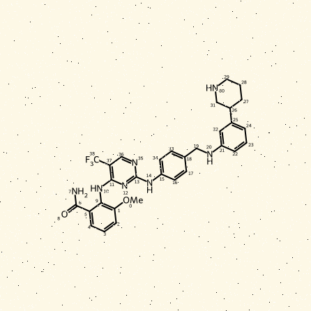 COc1cccc(C(N)=O)c1Nc1nc(Nc2ccc(CNc3cccc(C4CCCNC4)c3)cc2)ncc1C(F)(F)F